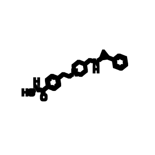 O=C(NO)c1ccc(CCN2CCC(CNC3CC3c3ccccc3)CC2)cc1